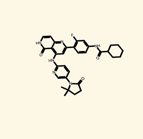 CC1(C)CCC(=O)N1c1ccc(Nc2cc(-c3ccc(NC(=O)C4CCCCC4)cc3F)nc3cc[nH]c(=O)c23)nc1